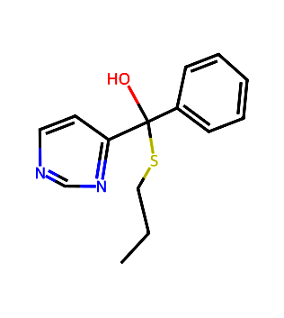 CCCSC(O)(c1ccccc1)c1ccncn1